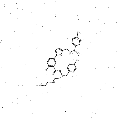 CNCCNCC[C@@H](Cc1ccc(C#N)cc1)NC(=O)c1cc(-c2ccc(CN[C@H](C)c3ccc(C)cc3)o2)ccc1Cl